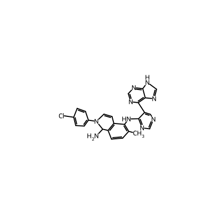 Cc1ccc2c(c1Nc1ncncc1-c1ncnc3[nH]cnc13)C=CN(c1ccc(Cl)cc1)C2N